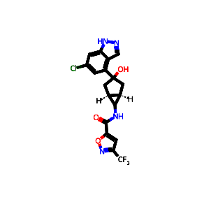 O=C(NC1[C@H]2CC(O)(c3cc(Cl)cc4[nH]ncc34)C[C@@H]12)c1cc(C(F)(F)F)no1